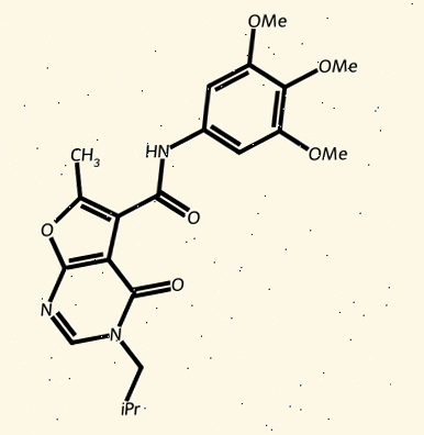 COc1cc(NC(=O)c2c(C)oc3ncn(CC(C)C)c(=O)c23)cc(OC)c1OC